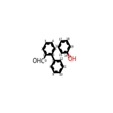 O=Cc1ccccc1-c1ccccc1.Oc1ccccc1